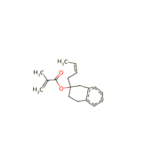 C=C(C)C(=O)OC1(C/C=C\C)CCc2ccccc2C1